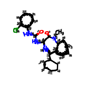 CN1C(=O)C(NC(=O)Nc2ccccc2Cl)N=C(C2CCCCC2)c2ccccc21